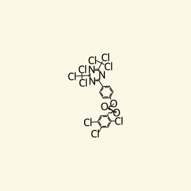 O=S(=O)(Oc1ccc(-c2nc(C(Cl)(Cl)Cl)nc(C(Cl)(Cl)Cl)n2)cc1)c1cc(Cl)c(Cl)cc1Cl